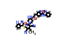 CCc1c(C#N)c(SC(C(N)=O)c2ccccc2)nc(N2CCC(NC(=O)Cc3ccc(C(=O)Nc4ccccc4N)cc3)CC2)c1C#N